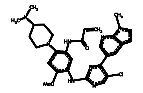 C=CC(=O)Nc1cc(Nc2ncc(Cl)c(-c3cnc4c(ccn4C)c3)n2)c(OC)cc1N1CCC(N(C)C)CC1